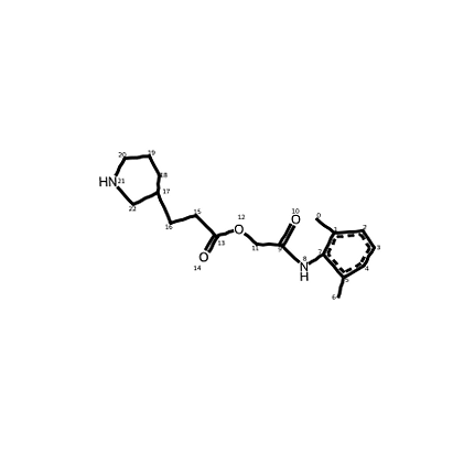 Cc1cccc(C)c1NC(=O)COC(=O)CCC1CCCNC1